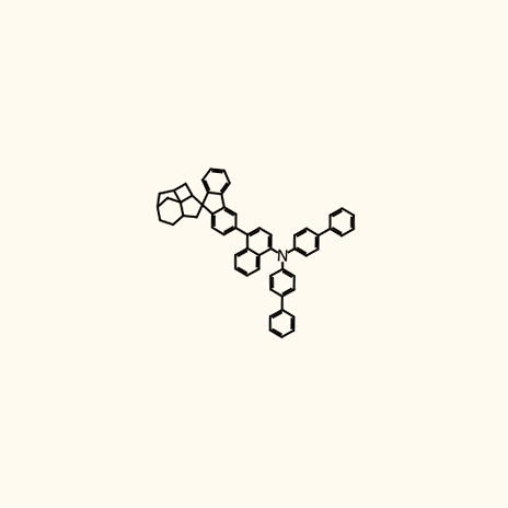 c1ccc(-c2ccc(N(c3ccc(-c4ccccc4)cc3)c3ccc(-c4ccc5c(c4)-c4ccccc4C54CC5CCC6CC7CC4C75C6)c4ccccc34)cc2)cc1